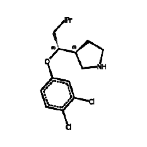 CC(C)C[C@@H](Oc1ccc(Cl)c(Cl)c1)[C@H]1CCNC1